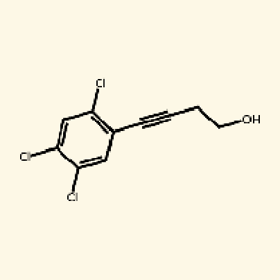 OCCC#Cc1cc(Cl)c(Cl)cc1Cl